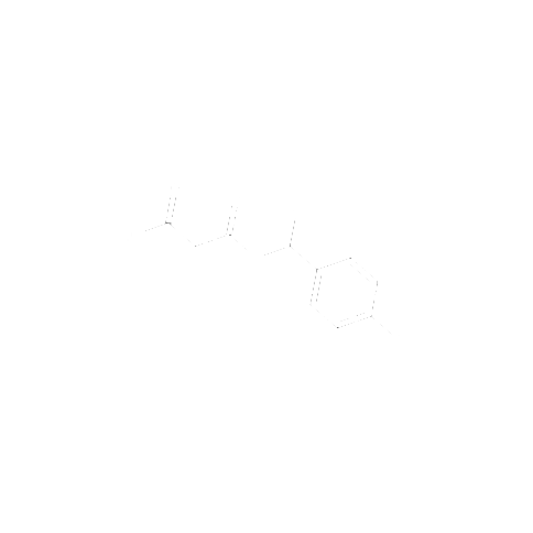 [CH2]C(OC(=O)CC(C)=O)c1ccc(C)cc1